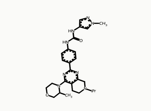 CC(C)N1CCc2c(nc(-c3ccc(NC(=O)Nc4cnn(C)c4)cc3)nc2N2CCOCC2C)C1